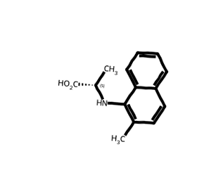 Cc1ccc2ccccc2c1N[C@@H](C)C(=O)O